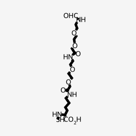 O=CNCCOCCOCC(=O)NCCOCCOCC(=O)NCCCCC(NS)C(=O)O